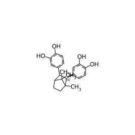 CC1(C)C2CCC1(C)[C@H](c1ccc(O)c(O)c1)C2c1ccc(O)c(O)c1